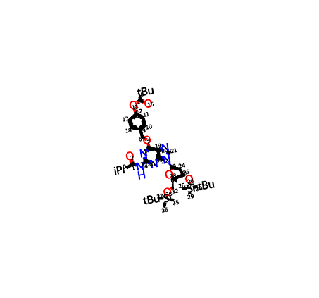 CC(C)C(=O)Nc1nc(OCc2ccc(OC(=O)C(C)(C)C)cc2)c2ncn([C@H]3C[C@H](O[Si](C)(C)C(C)(C)C)[C@@H](CO[Si](C)(C)C(C)(C)C)O3)c2n1